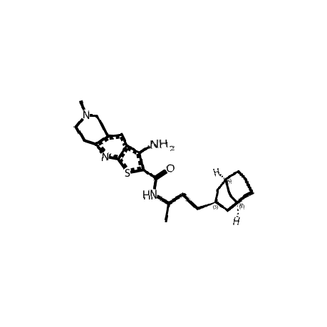 CC(CC[C@@H]1C[C@@H]2CCC[C@@H](C2)C1)NC(=O)c1sc2nc3c(cc2c1N)CN(C)CC3